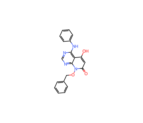 O=c1cc(O)c2c(Nc3ccccc3)ncnc2n1OCc1ccccc1